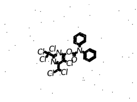 O=C(Oc1nc(C(Cl)(Cl)Cl)nc(C(Cl)Cl)c1Cl)N(c1ccccc1)c1ccccc1